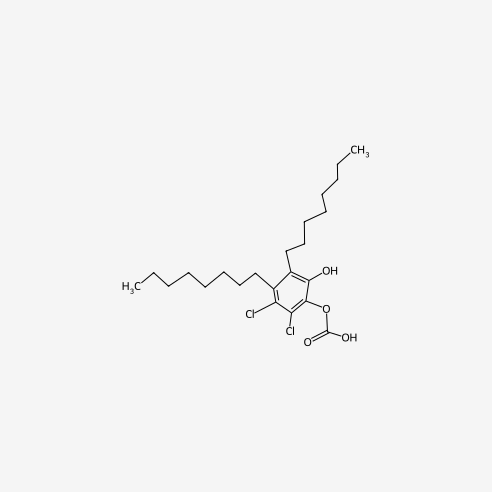 CCCCCCCCc1c(O)c(OC(=O)O)c(Cl)c(Cl)c1CCCCCCCC